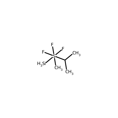 CC(C)S(C)(F)(F)(F)[SiH3]